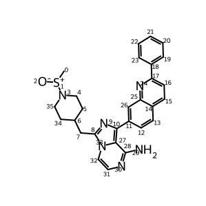 C[S+]([O-])N1CCC(Cc2nc(-c3ccc4ccc(-c5ccccc5)nc4c3)c3c(N)nccn23)CC1